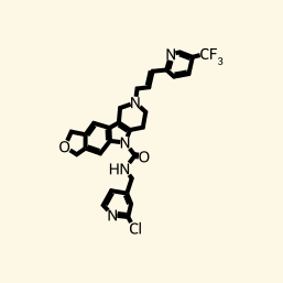 O=C(NCc1ccnc(Cl)c1)n1c2c(c3cc4c(cc31)COC4)CN(CC=Cc1ccc(C(F)(F)F)cn1)CC2